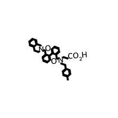 Cc1ccc(CCN(CCC(=O)O)C(=O)c2ccccc2-c2ccccc2C(=O)N2CCc3ccccc3C2)cc1